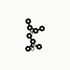 c1ccc(-c2ccc3c(c2)c2cc(-c4ccccc4)ccc2n3-c2cccc(-c3ccc4c(c3)c3c5ccccc5oc3n4-c3ccccc3)c2)cc1